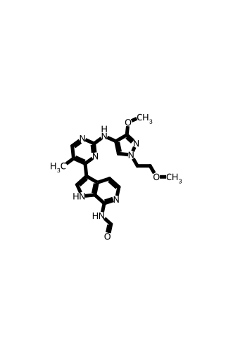 COCCn1cc(Nc2ncc(C)c(-c3c[nH]c4c(NC=O)nccc34)n2)c(OC)n1